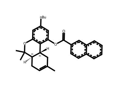 CCCCc1cc(OC(=O)c2ccc3ccccc3c2)c2c(c1)OC(C)(C)[C@@H]1CC=C(C)C[C@@H]21